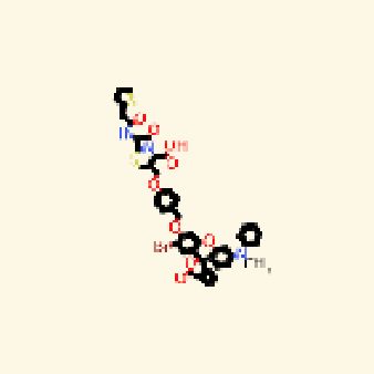 CN(c1ccccc1)c1ccc2c(c1)Oc1cc(OCc3ccc(OCC4=C(C(=O)O)N5C(=O)[C@H](NC(=O)Cc6cccs6)C5SC4)cc3)c(Br)cc1C21OC(=O)c2ccccc21